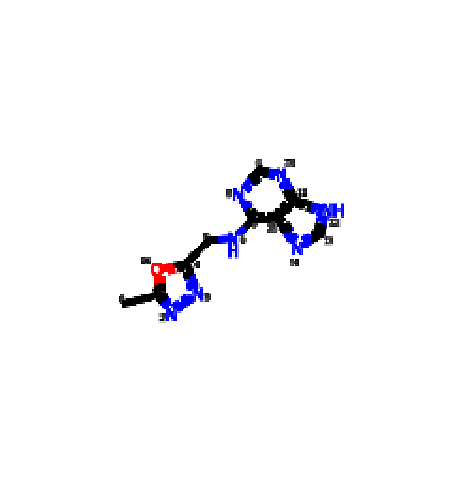 Cc1nnc(CNc2ncnc3[nH]cnc23)o1